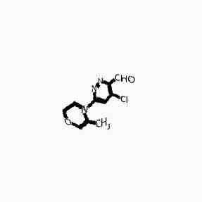 CC1COCCN1c1cc(Cl)c(C=O)nn1